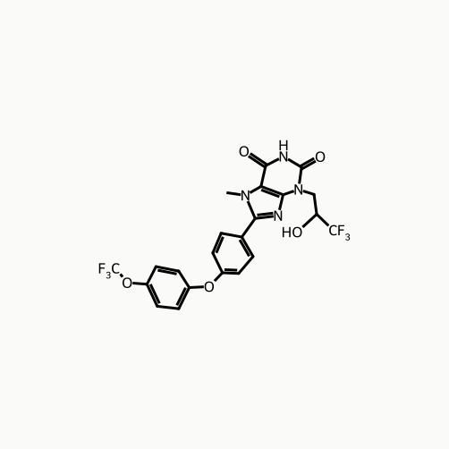 Cn1c(-c2ccc(Oc3ccc(OC(F)(F)F)cc3)cc2)nc2c1c(=O)[nH]c(=O)n2CC(O)C(F)(F)F